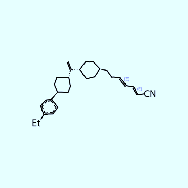 C=C([C@H]1CC[C@H](CC/C=C/C=C/C#N)CC1)[C@H]1CC[C@H](c2ccc(CC)cc2)CC1